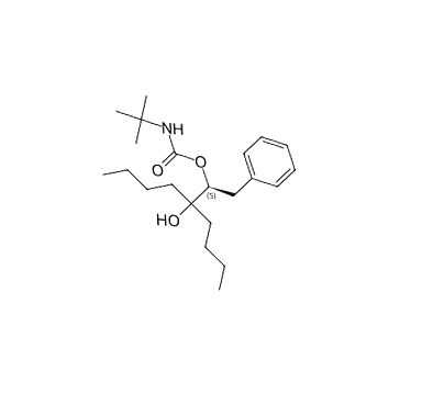 CCCCC(O)(CCCC)[C@H](Cc1ccccc1)OC(=O)NC(C)(C)C